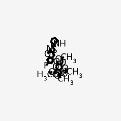 COC(=O)C1OC(Oc2cc(F)ccc2C=C2SC(N3CCCCN3)=NC2=O)C(OC(C)=O)C(OC(C)=O)C1OC(C)=O